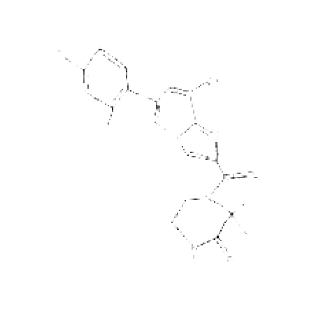 Cc1cc(F)ccc1-c1cc(C(C)C)c2nc(C(=O)N3CCNC(=O)C3(C)C)cn2n1